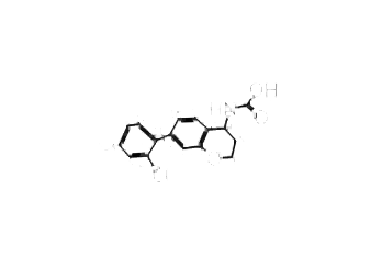 O=C(O)NC1CCOc2cc(-c3ccccc3Cl)ccc21